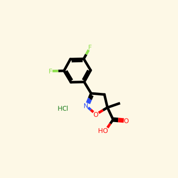 CC1(C(=O)O)CC(c2cc(F)cc(F)c2)=NO1.Cl